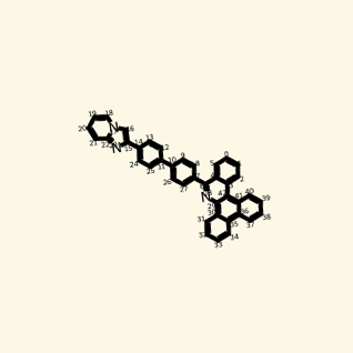 c1ccc2c(c1)c(-c1ccc(-c3ccc(-c4cn5ccccc5n4)cc3)cc1)nc1c3ccccc3c3ccccc3c21